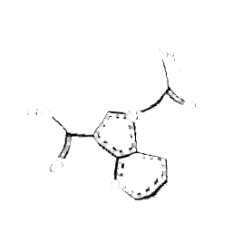 NC(=O)n1cc(C(=O)O)c2ncccc21